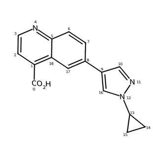 O=C(O)c1ccnc2ccc(-c3cnn(C4CC4)c3)cc12